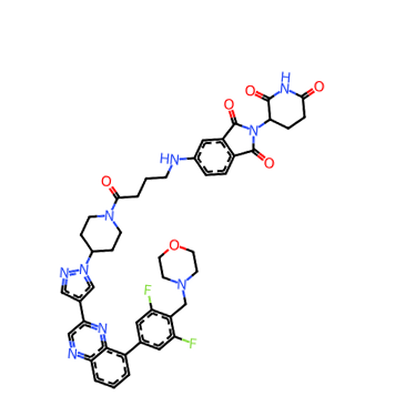 O=C1CCC(N2C(=O)c3ccc(NCCCC(=O)N4CCC(n5cc(-c6cnc7cccc(-c8cc(F)c(CN9CCOCC9)c(F)c8)c7n6)cn5)CC4)cc3C2=O)C(=O)N1